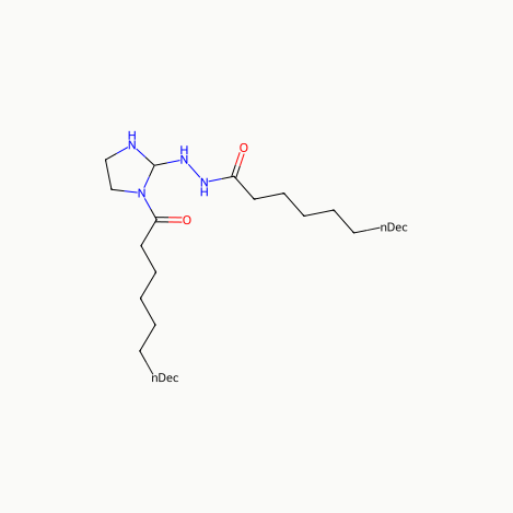 CCCCCCCCCCCCCCCC(=O)NNC1NCCN1C(=O)CCCCCCCCCCCCCCC